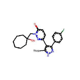 CNc1[nH]nc(-c2ccc(F)cc2)c1-c1ccc(=O)n(CC2(O)CCCCCC2)n1